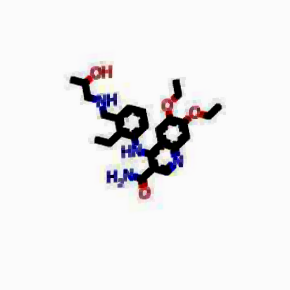 CCOc1cc2ncc(C(N)=O)c(Nc3cccc(CNCC(C)O)c3CC)c2cc1OCC